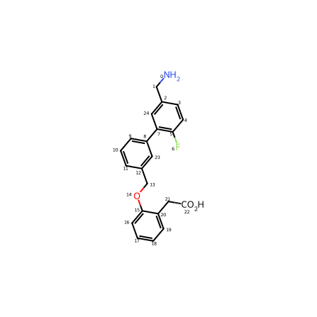 NCc1ccc(F)c(-c2cccc(COc3ccccc3CC(=O)O)c2)c1